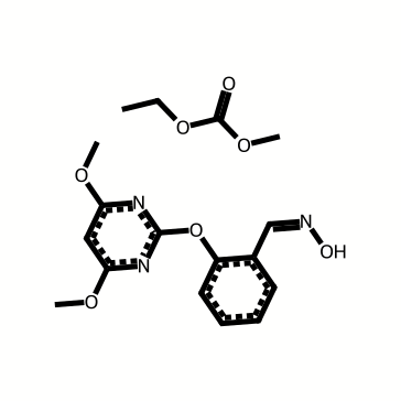 CCOC(=O)OC.COc1cc(OC)nc(Oc2ccccc2/C=N\O)n1